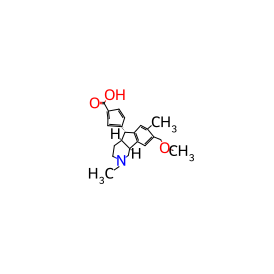 CCN1CC[C@H]2[C@H](c3ccc(C(=O)O)cc3)c3cc(C)c(COC)cc3[C@H]2C1